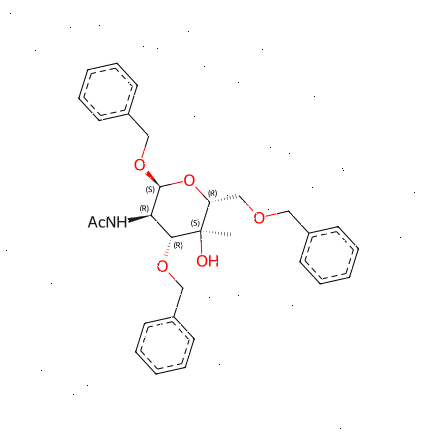 CC(=O)N[C@H]1[C@@H](OCc2ccccc2)O[C@H](COCc2ccccc2)[C@@](C)(O)[C@@H]1OCc1ccccc1